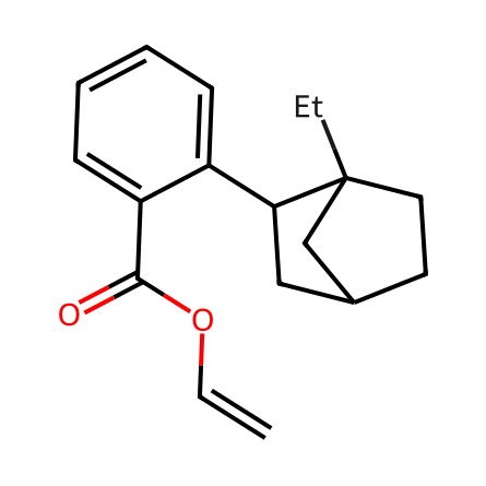 C=COC(=O)c1ccccc1C1CC2CCC1(CC)C2